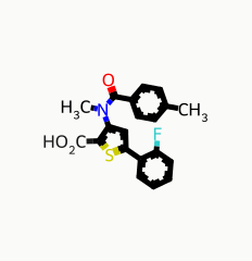 Cc1ccc(C(=O)N(C)c2cc(-c3ccccc3F)sc2C(=O)O)cc1